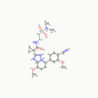 COc1cc(-c2ccc(OC)c3nc(C4(C(=O)NCCS(=O)(=O)N(C)C)CC4)nn23)ccc1C#N